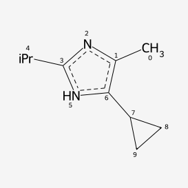 Cc1nc(C(C)C)[nH]c1C1CC1